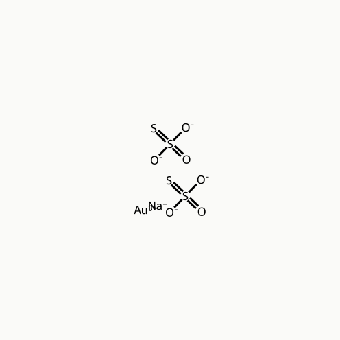 O=S([O-])([O-])=S.O=S([O-])([O-])=S.[Au+3].[Na+]